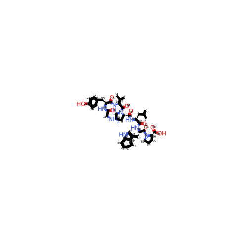 CC(C)C[C@H](NC(=O)[C@@H]1CCCN1C(=O)[C@@H](NC(=O)[C@H](Cc1ccc(O)cc1)NC(=O)CN)C(C)C)C(=O)N[C@@H](Cc1c[nH]c2ccccc12)C(=O)N1CCC[C@H]1C(=O)O